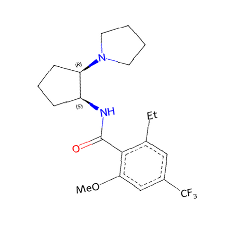 CCc1cc(C(F)(F)F)cc(OC)c1C(=O)N[C@H]1CCC[C@H]1N1CCCC1